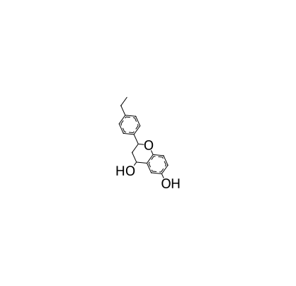 CCc1ccc(C2CC(O)c3cc(O)ccc3O2)cc1